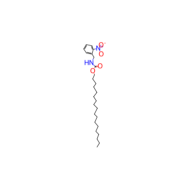 CCCCCCCCCCCCCCCCCCOC(=O)NCc1ccccc1[N+](=O)[O-]